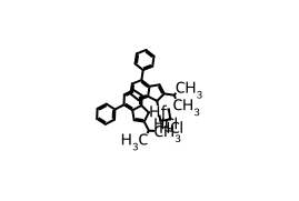 CC(C)C1=Cc2c(-c3ccccc3)cccc2[CH]1[Hf]1([CH]2C(C(C)C)=Cc3c(-c4ccccc4)cccc32)[CH2]C[CH2]1.Cl.Cl